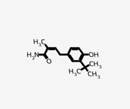 CC(=CCc1ccc(O)c(C(C)(C)C)c1)C(N)=O